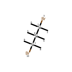 C[Si](C)(Br)[Si](C)(C)[Si](C)(C)Br